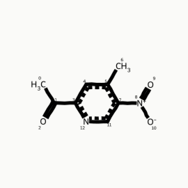 CC(=O)c1cc(C)c([N+](=O)[O-])cn1